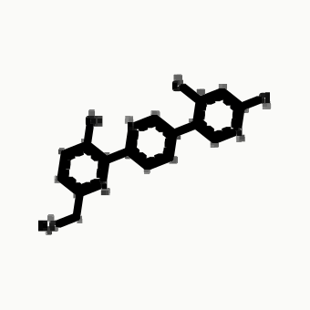 CCc1ccc(O)c(-c2ccc(-c3cnc(Cl)cc3Cl)cn2)n1